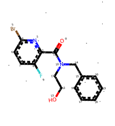 O=C(c1nc(Br)ccc1F)N(CCO)Cc1ccccc1